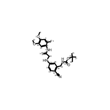 COc1cc(F)c(NC(=S)CNc2ccc(C#N)c(CNC(=O)OC(C)(C)C)c2)cc1OC